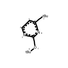 CC(C)(C)Oc1nccc(C(C)(C)C)n1